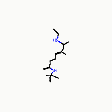 C=C(CC/C=C(\C)C(C)NCC)NC(C)(C)C